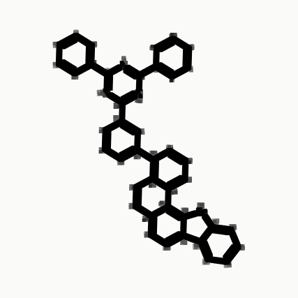 c1ccc(-c2nc(-c3ccccc3)nc(-c3cccc(-c4cccc5c4ccc4ccc6c7ccccc7[se]c6c45)c3)n2)cc1